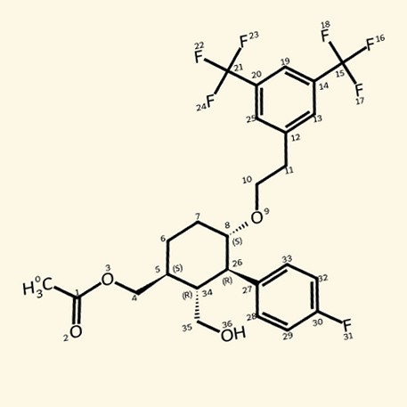 CC(=O)OC[C@H]1CC[C@H](OCCc2cc(C(F)(F)F)cc(C(F)(F)F)c2)[C@@H](c2ccc(F)cc2)[C@@H]1CO